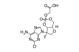 Nc1nc(Cl)nc2c1ncn2C1(F)CO[C@@H]2COP(=O)(OCC(=O)O)OC21